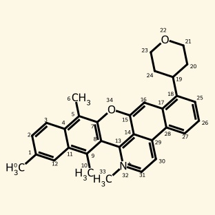 Cc1ccc2c(C)c3c(c(C)c2c1)-c1c2c(cc4c(C5CCOCC5)cccc4c2cc[n+]1C)O3